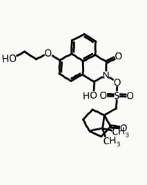 CC1(C)C2CCC1(CS(=O)(=O)ON1C(=O)c3cccc4c(OCCO)ccc(c34)C1O)C(=O)C2